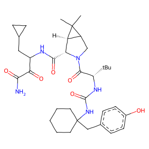 CC(C)(C)[C@H](NC(=O)NC1(Cc2ccc(O)cc2)CCCCC1)C(=O)N1CC2[C@@H]([C@H]1C(=O)NC(CC1CC1)C(=O)C(N)=O)C2(C)C